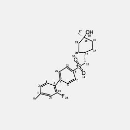 Cc1ccc(-c2ccc(S(=O)(=O)C[C@H]3CC[C@](C)(O)CC3)cc2)c(F)c1